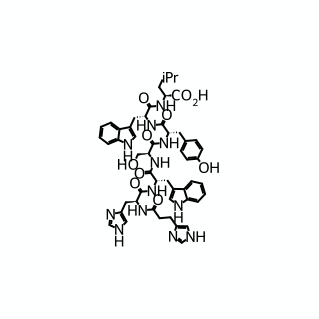 CC(C)C[C@H](NC(=O)[C@@H](Cc1c[nH]c2ccccc12)NC(=O)[C@H](Cc1ccc(O)cc1)NC(=O)[C@H](CO)NC(=O)[C@H](Cc1c[nH]c2ccccc12)NC(=O)[C@H](Cc1c[nH]cn1)NC(=O)CCc1c[nH]cn1)C(=O)O